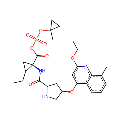 CCOc1cc(O[C@H]2CNC(C(=O)N[C@]3(C(=O)OS(=O)(=O)OC4(C)CC4)CC3CC)C2)c2cccc(C)c2n1